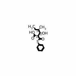 CC[C@H](C)[C@H](O)[C@H](C(=O)O)C(=O)Sc1ccccc1